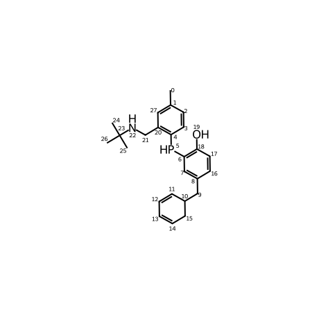 Cc1ccc(Pc2cc(CC3C=CC=CC3)ccc2O)c(CNC(C)(C)C)c1